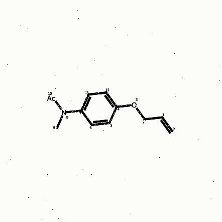 C=CCOc1ccc(N(C)C(C)=O)cc1